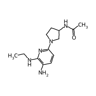 CCNc1nc(N2CCC(NC(C)=O)C2)ccc1N